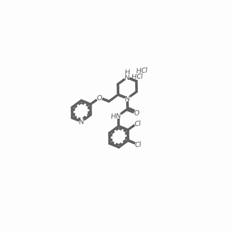 Cl.Cl.O=C(Nc1cccc(Cl)c1Cl)N1CCNCC1COc1cccnc1